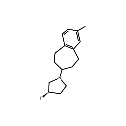 Cc1ccc2c(c1)CCC(N1CC[C@@H](F)C1)CC2